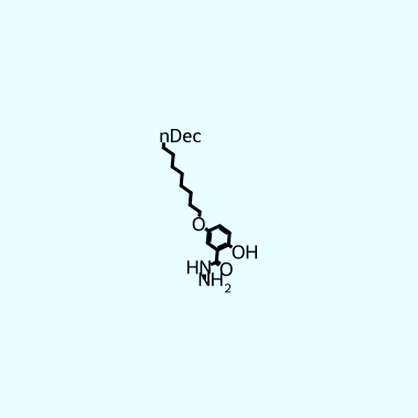 CCCCCCCCCCCCCCCCCCOc1ccc(O)c(C(=O)NN)c1